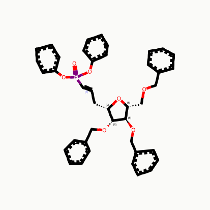 O=P(/C=C/C[C@@H]1O[C@H](COCc2ccccc2)[C@@H](OCc2ccccc2)[C@@H]1OCc1ccccc1)(Oc1ccccc1)Oc1ccccc1